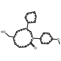 COc1ccc(-n2cc(-c3ccccc3)ccc(CO)cccc2=O)cc1